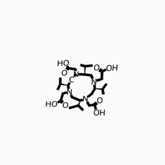 CC(C)[C@H]1CN(CC(=O)O)[C@@H](C(C)C)CN(CC(=O)O)[C@@H](C(C)C)CN(CC(=O)O)[C@@H](C(C)C)CN1CC(=O)O